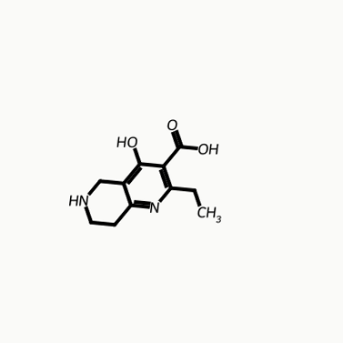 CCc1nc2c(c(O)c1C(=O)O)CNCC2